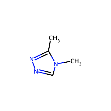 Cc1nncn1C